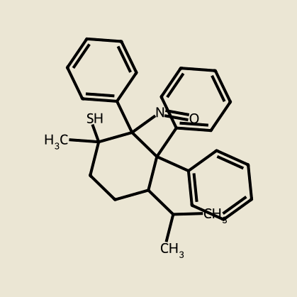 CC(C)C1CCC(C)(S)C(N=O)(c2ccccc2)C1(c1ccccc1)c1ccccc1